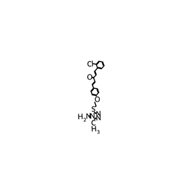 Cc1nnc(SCCOc2ccc(C=CC(=O)C=Cc3ccccc3Cl)cc2)n1N